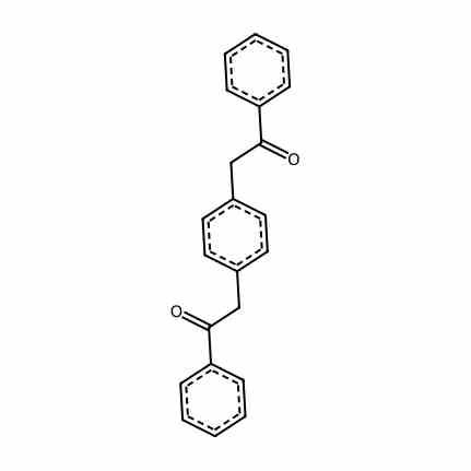 O=C(Cc1ccc(CC(=O)c2ccccc2)cc1)c1ccccc1